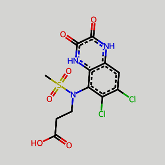 CS(=O)(=O)N(CCC(=O)O)c1c(Cl)c(Cl)cc2[nH]c(=O)c(=O)[nH]c12